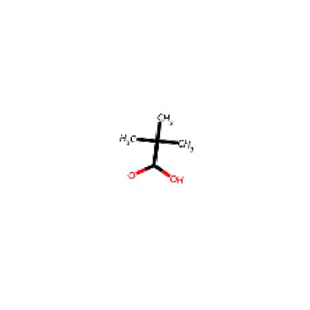 CC(C)(C)C([O])O